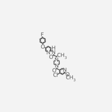 COc1cc(Cl)c(C(=O)N2CCN(C(C)C(=O)Nc3ccc(Oc4ccc(F)cc4)cn3)CC2)cn1